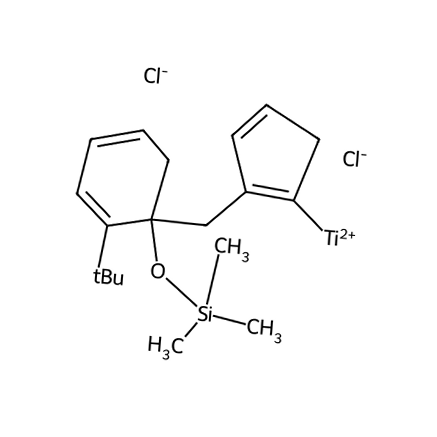 CC(C)(C)C1=CC=CCC1(CC1=[C]([Ti+2])CC=C1)O[Si](C)(C)C.[Cl-].[Cl-]